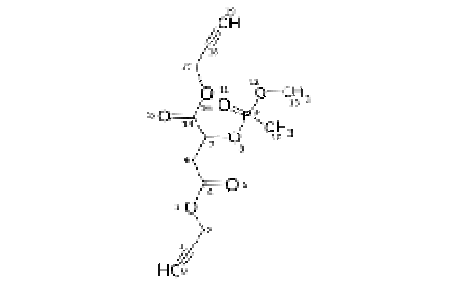 C#CCOC(=O)CC(OP(C)(=O)OC)C(=O)OCC#C